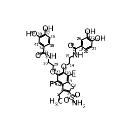 CCc1c(S(N)(=O)=O)sc2c(F)c(OCCNC(=O)c3ccc(O)c(O)c3)c(OCCNC(=O)c3ccc(O)c(O)c3)c(F)c12